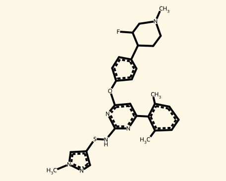 Cc1cccc(C)c1-c1cc(Oc2ccc(C3CCN(C)CC3F)cc2)nc(NSc2cnn(C)c2)n1